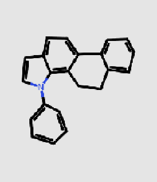 c1ccc(-n2ccc3ccc4c(c32)CCc2ccccc2-4)cc1